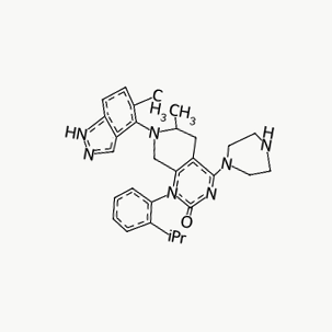 Cc1ccc2[nH]ncc2c1N1Cc2c(c(N3CCNCC3)nc(=O)n2-c2ccccc2C(C)C)CC1C